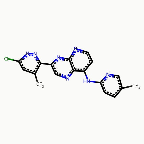 FC(F)(F)c1ccc(Nc2ccnc3nc(-c4nnc(Cl)cc4C(F)(F)F)cnc23)nc1